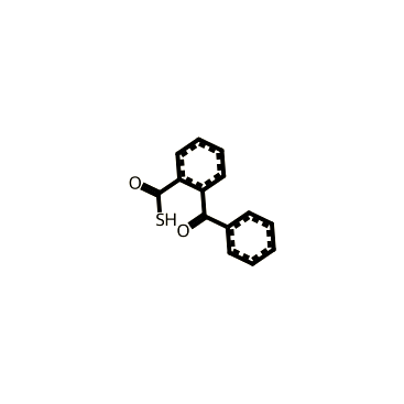 O=C(S)c1ccccc1C(=O)c1ccccc1